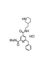 CNC(=O)c1cc(C(=O)NCCC2CCCNC2)cc(Cc2ccccc2)n1.Cl